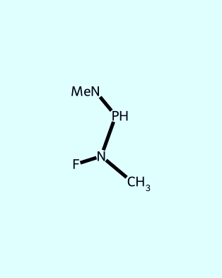 CNPN(C)F